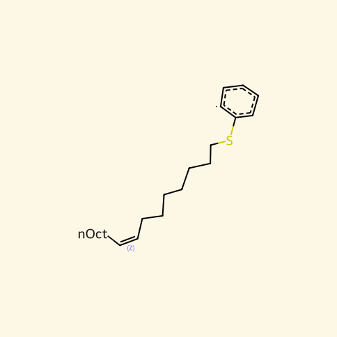 CCCCCCCC/C=C\CCCCCCCSc1[c]cccc1